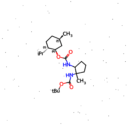 CC(C)[C@@H]1CC[C@@H](C)C[C@H]1OC(=O)NC1CCCC1(C)NC(=O)OC(C)(C)C